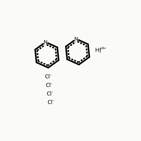 [Cl-].[Cl-].[Cl-].[Cl-].[Hf+4].c1ccncc1.c1ccncc1